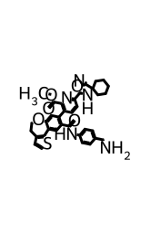 COC(=O)c1nc(C(=O)NC2(C#N)CCCCC2)ccc1-c1cc2c(cc1C(=O)Nc1ccc(CN)cc1)-c1sccc1CCO2